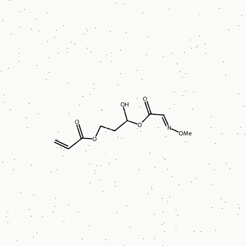 C=CC(=O)OCCC(O)OC(=O)C=NOC